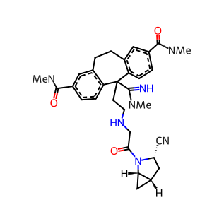 CNC(=N)C1(CCNCC(=O)N2[C@H](C#N)C[C@@H]3C[C@@H]32)c2ccc(C(=O)NC)cc2CCc2cc(C(=O)NC)ccc21